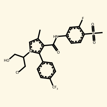 Cc1cn(C(CO)CCl)c(-c2ccc(C(F)(F)F)cc2)c1C(=O)Nc1ccc(S(C)(=O)=O)c(F)c1